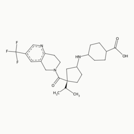 CC(C)[C@]1(C(=O)N2CCc3ncc(C(F)(F)F)cc3C2)CCC(NC2CCC(C(=O)O)CC2)C1